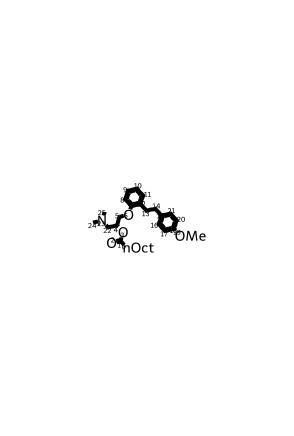 CCCCCCCCC(=O)OC(COc1ccccc1CCc1ccc(OC)cc1)CN(C)C